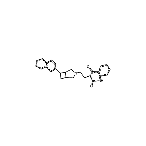 O=c1[nH]c2ccccc2c(=O)n1CCN1CC2CC(c3ccc4ccccc4c3)C2C1